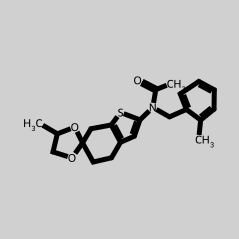 CC(=O)N(Cc1ccccc1C)c1cc2c(s1)CC1(CC2)OCC(C)O1